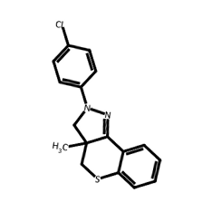 CC12CSc3ccccc3C1=NN(c1ccc(Cl)cc1)C2